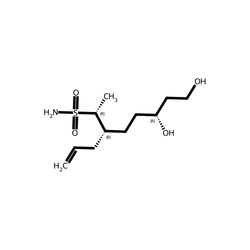 C=CC[C@@H](CC[C@@H](O)CCO)[C@@H](C)S(N)(=O)=O